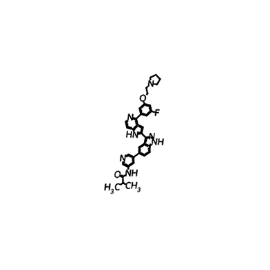 CC(C)C(=O)Nc1cncc(-c2ccc3[nH]nc(-c4cc5c(-c6cc(F)cc(OCCN7CCCC7)c6)nccc5[nH]4)c3c2)c1